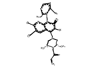 C=CC(=O)N1[C@H](C)CN(c2c(C#N)c(=O)n(-c3c(C(C)C)ncnc3C(C)C)c3nc(Cl)c(Cl)cc23)C[C@@H]1C